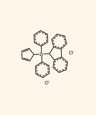 C1=C[CH]([Zr]([c]2ccccc2)([c]2ccccc2)[CH]2c3ccccc3-c3ccccc32)C=C1.[Cl-].[Cl-]